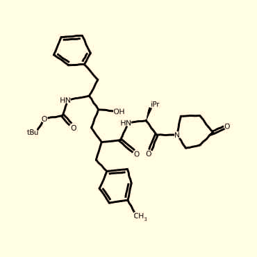 Cc1ccc(CC(CC(O)C(Cc2ccccc2)NC(=O)OC(C)(C)C)C(=O)N[C@H](C(=O)N2CCC(=O)CC2)C(C)C)cc1